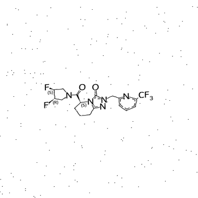 O=C([C@@H]1CCCc2nn(Cc3cccc(C(F)(F)F)n3)c(=O)n21)N1C[C@@H](F)[C@@H](F)C1